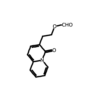 O=COCCc1ccc2ccccn2c1=O